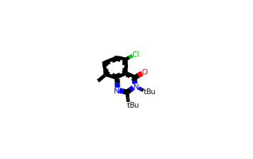 Cc1ccc(Cl)c2c(=O)n(C(C)(C)C)c(C(C)(C)C)nc12